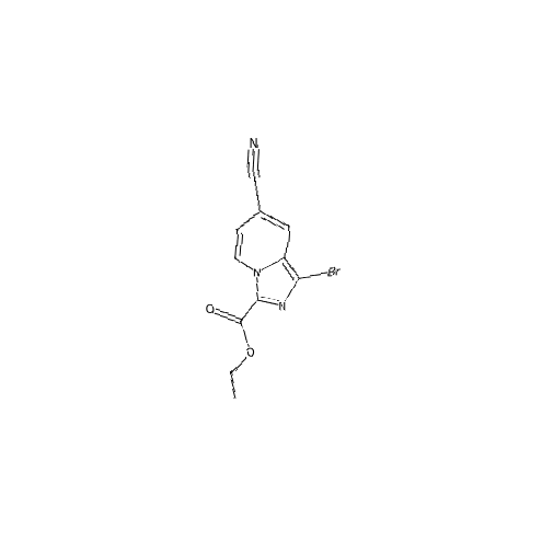 CCOC(=O)c1nc(Br)c2cc(C#N)ccn12